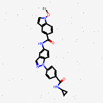 CCOn1ccc2cc(C(=O)Nc3ccc4c(cnn4-c4ccc(C(=O)NC5CC5)cc4)c3)ccc21